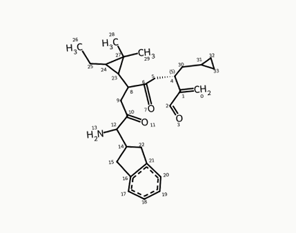 C=C(C=O)[C@H](CC(=O)C(CC(=O)C(N)C1Cc2ccccc2C1)C1C(CC)C1(C)C)CC1CC1